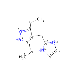 CCc1n[nH]c(CC)c1Cc1ncc[nH]1